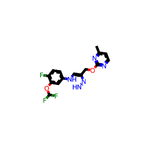 Cc1ccnc(OC/C(=C/Nc2ccc(F)c(OC(F)F)c2)N=N)n1